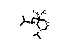 CC(C)NCC1([N+](=O)[O-])COCN(C(C)C)C1